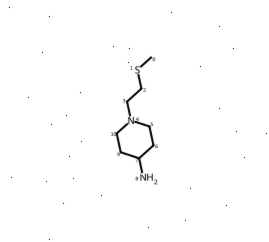 CSCCN1CCC(N)CC1